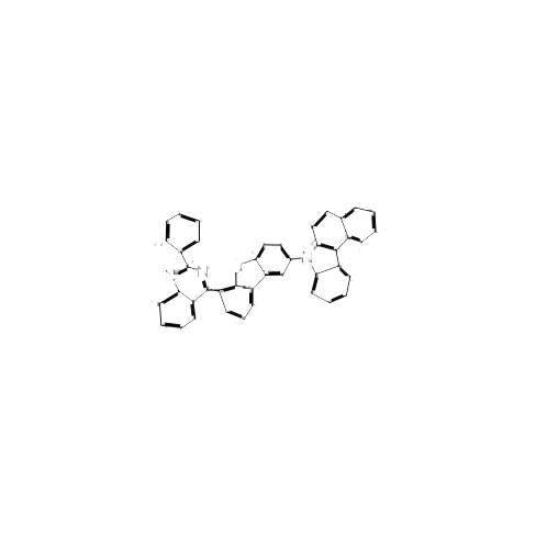 c1ccc(-c2nc(-c3cccc4c3oc3ccc(-n5c6ccccc6c6c7ccccc7ccc65)cc34)c3ccccc3n2)cc1